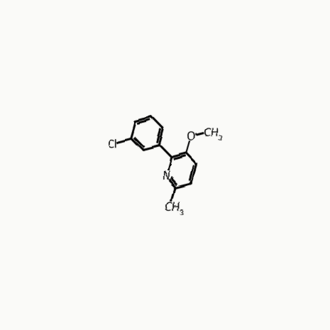 COc1ccc(C)nc1-c1cccc(Cl)c1